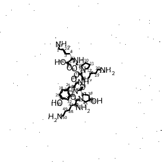 NCCCC[C@H](NC(=O)[C@@H]1CCCN1C(=O)[C@H](CCCCN)NC(=O)[C@H](Cc1ccc(O)cc1)NC(=O)[C@@H]1C[C@@H](O)CN1C(=O)[C@@H](N)CCCCN)C(=O)O